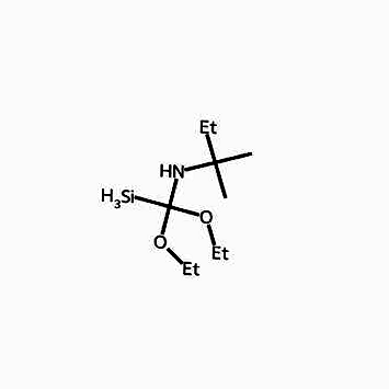 CCOC([SiH3])(NC(C)(C)CC)OCC